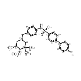 C[C@H]1CN(Cc2ccc(NS(=O)(=O)c3ccc(-c4ccc(F)cc4)nc3)cc2)C[C@@](C)(C(C)(C)C)N1C(=O)O